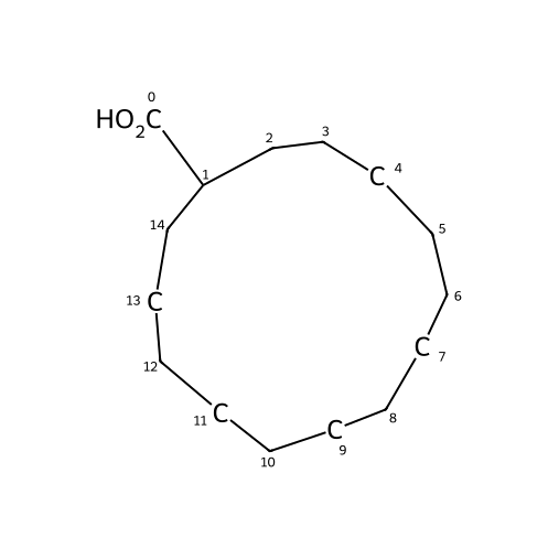 O=C(O)C1CCCCCCCCCCCCC1